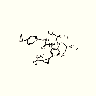 CC(C)CN(CC(C)C)c1ccc([C@H]2C[C@H]2C(=O)O)cc1NC(=O)Nc1ccc(C2CC2)cc1